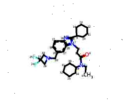 CCN(C(=O)CCn1c(C2CCCCC2)nc2ccc(CN3CC(F)(F)C3)cc21)C1CCCCC1